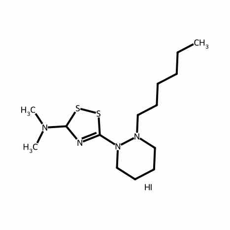 CCCCCCN1CCCCN1C1=NC(N(C)C)SS1.I